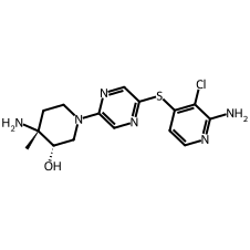 C[C@@]1(N)CCN(c2cnc(Sc3ccnc(N)c3Cl)cn2)C[C@@H]1O